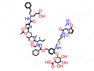 CC[C@H](C)[C@H](NC(=O)[C@H]1CCCCN1C(=O)OCc1ccc(O[C@@H]2O[C@H](C(=O)O)[C@@H](O)[C@H](O)[C@H]2O)c(NCOCCCNC(=O)[C@H](CN)N2C(=O)C=CC2=O)c1)C(=O)N(C)[C@H](C[C@@H](OC(C)=O)c1nc(C(=O)N[C@@H](CCc2ccccc2)C[C@H](C)C(=O)O)cs1)C(C)C